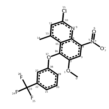 COc1cc([N+](=O)[O-])c2nc(Cl)cc(C)c2c1Oc1cccc(C(F)(F)F)c1